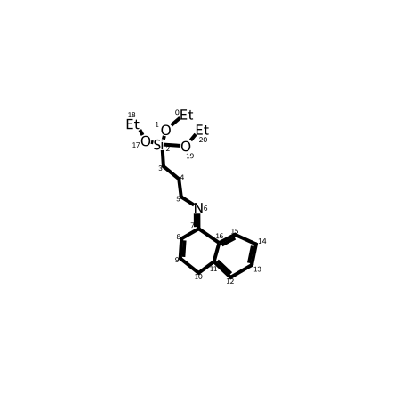 CCO[Si](CCCN=C1C=CCc2ccccc21)(OCC)OCC